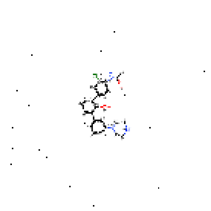 CC(=O)Nc1ccc(-c2cccc(-c3cccc(N4CCNCC4)c3)c2O)cc1Cl